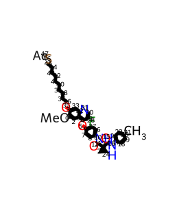 COc1cc2c(Oc3ccc(NC(=O)C4(C(=O)Nc5ccc(C)cc5)CC4)cc3F)ccnc2cc1OCCCCCCCCCCSC(C)=O